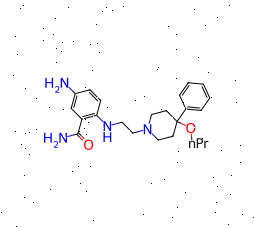 CCCOC1(c2ccccc2)CCN(CCNc2ccc(N)cc2C(N)=O)CC1